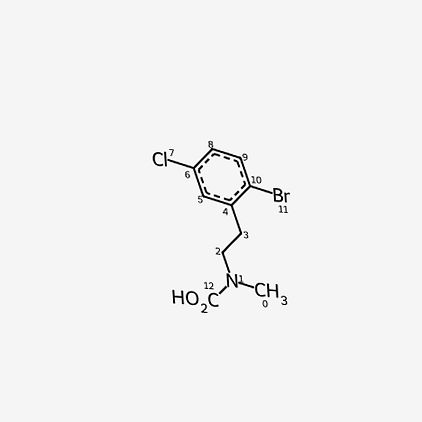 CN(CCc1cc(Cl)ccc1Br)C(=O)O